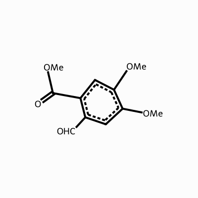 COC(=O)c1cc(OC)c(OC)cc1C=O